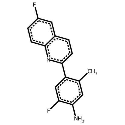 Cc1cc(N)c(F)cc1-c1ccc2cc(F)ccc2n1